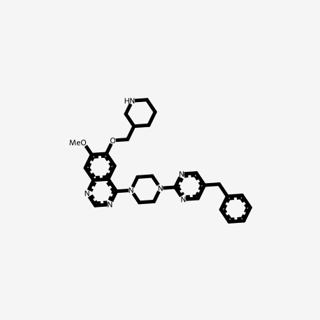 COc1cc2ncnc(N3CCN(c4ncc(Cc5ccccc5)cn4)CC3)c2cc1OCC1CCCNC1